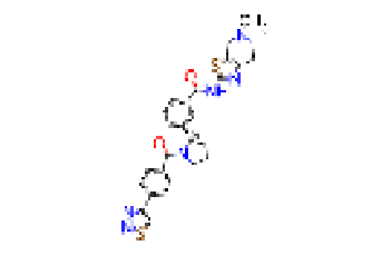 CN1CCc2nc(NC(=O)c3cccc([C@H]4CCCN4C(=O)c4ccc(-c5csnn5)cc4)c3)sc2C1